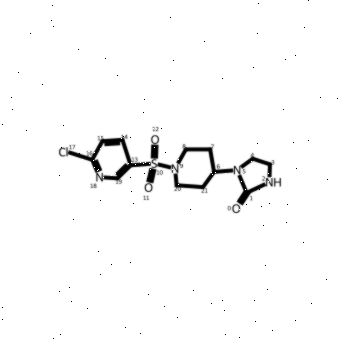 O=C1NCCN1C1CCN(S(=O)(=O)c2ccc(Cl)nc2)CC1